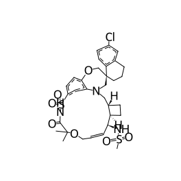 CC1(C)OCC=C[C@H](NS(C)(=O)=O)[C@@H]2CC[C@H]2CN2C[C@@]3(CCCc4cc(Cl)ccc43)COc3ccc(cc32)S(=O)(=O)NC1=O